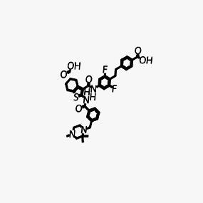 CN1CCN(Cc2cccc(C(=O)Nc3sc4c(c3C(=O)Nc3cc(F)c(CCc5ccc(C(=O)O)cc5)c(F)c3)CCCC4)c2)C(C)(C)C1.O=CO